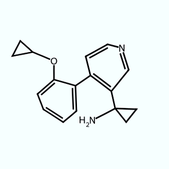 NC1(c2cnccc2-c2ccccc2OC2CC2)CC1